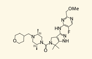 COCc1ncc(F)c(Nc2n[nH]c3c2CN(C(=O)N2C[C@H](C)N(CC4CCOCC4)C[C@@H]2C)C3(C)C)n1